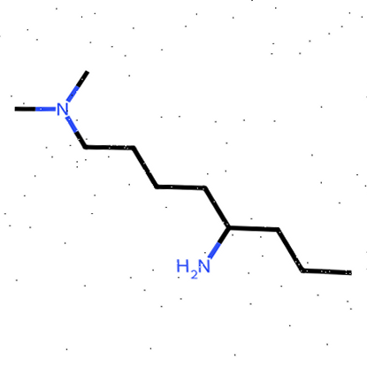 CCCC(N)CCCCN(C)C